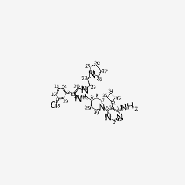 Nc1ncnc(N2CCC(c3nc(-c4cccc(Cl)c4)cn3CCN3CCCC3)CC2)c1C1CCC1